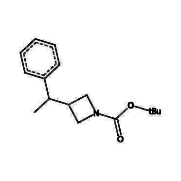 CC(c1ccccc1)C1CN(C(=O)OC(C)(C)C)C1